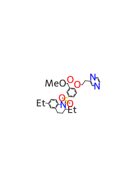 CCc1ccc2c(c1)CCC(CC)N2S(=O)(=O)c1ccc(OCCc2cnccn2)c(C(=O)OC)c1